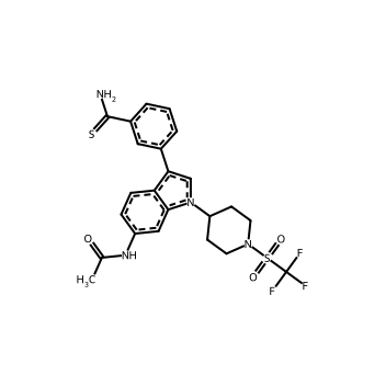 CC(=O)Nc1ccc2c(-c3cccc(C(N)=S)c3)cn(C3CCN(S(=O)(=O)C(F)(F)F)CC3)c2c1